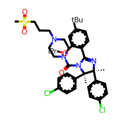 CC(C)Oc1cc(C(C)(C)C)ccc1C1=N[C@@](C)(c2ccc(Cl)cc2)[C@@](C)(c2ccc(Cl)cc2)N1C(=O)N1CCN(CCCS(C)(=O)=O)CC1